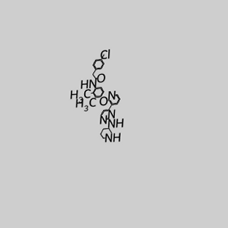 Cc1c(NC(=O)Cc2ccc(Cl)cc2)ccc(Oc2ncccc2-c2ccnc(N[C@H]3CCCNC3)n2)c1C